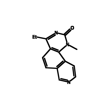 CCc1nc(=O)n(C)c2c1ccc1cnccc12